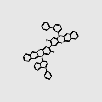 Fc1cc2c(cc1-c1cc3c(cc1F)N(c1ccc(-c4ccccc4)c4ccccc14)c1cc4ccccc4cc1O3)Oc1cc3ccccc3cc1N2c1cccc(-c2ccccc2)c1